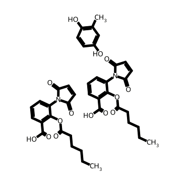 CCCCCC(=O)Oc1c(C(=O)O)cccc1N1C(=O)C=CC1=O.CCCCCC(=O)Oc1c(C(=O)O)cccc1N1C(=O)C=CC1=O.Cc1cc(O)ccc1O